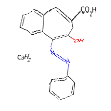 O=C(O)c1cc2ccccc2c(N=Nc2ccccc2)c1O.[CaH2]